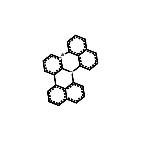 Brc1cccc2cccc(N3c4ncccc4-c4cccc5cccc3c45)c12